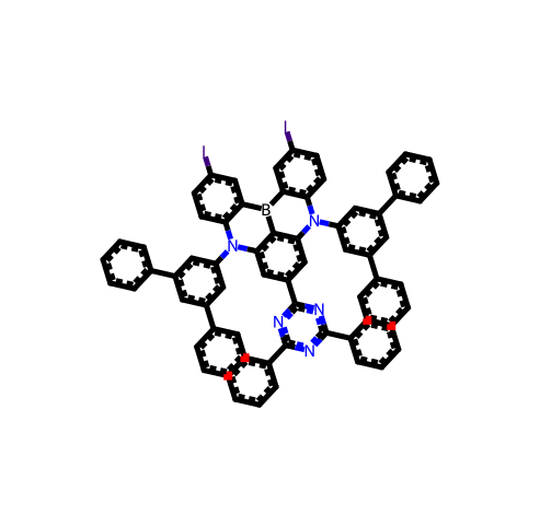 Ic1ccc2c(c1)B1c3cc(I)ccc3N(c3cc(-c4ccccc4)cc(-c4ccccc4)c3)c3cc(-c4nc(-c5ccccc5)nc(-c5ccccc5)n4)cc(c31)N2c1cc(-c2ccccc2)cc(-c2ccccc2)c1